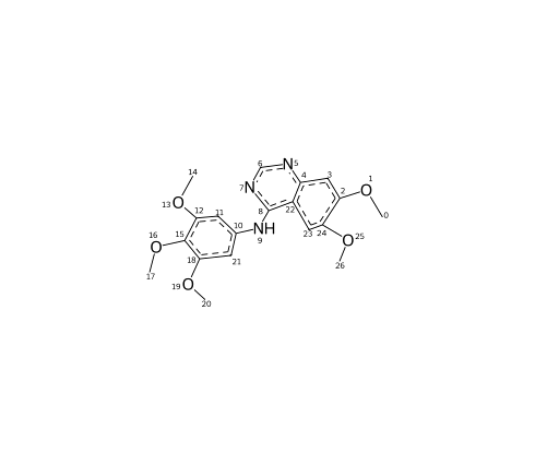 COc1cc2ncnc(Nc3cc(OC)c(OC)c(OC)c3)c2cc1OC